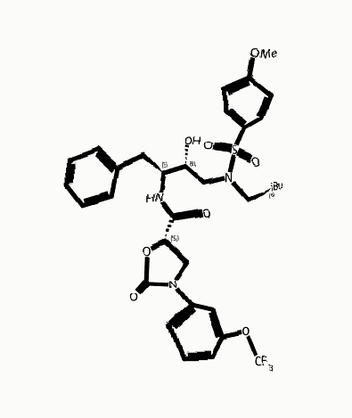 CC[C@H](C)CN(C[C@@H](O)[C@H](Cc1ccccc1)NC(=O)[C@@H]1CN(c2cccc(OC(F)(F)F)c2)C(=O)O1)S(=O)(=O)c1ccc(OC)cc1